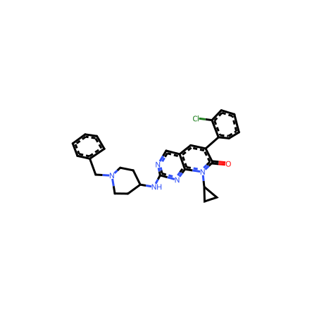 O=c1c(-c2ccccc2Cl)cc2cnc(NC3CCN(Cc4ccccc4)CC3)nc2n1C1CC1